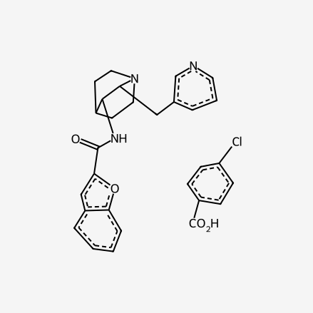 O=C(NC1C2CCN(CC2)C1Cc1cccnc1)c1cc2ccccc2o1.O=C(O)c1ccc(Cl)cc1